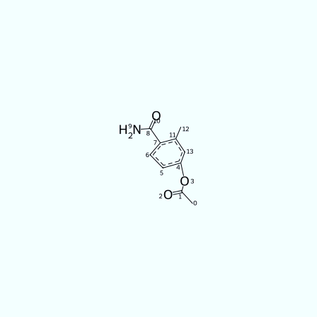 CC(=O)Oc1ccc(C(N)=O)c(C)c1